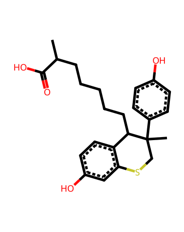 CC(CCCCCC1c2ccc(O)cc2SCC1(C)c1ccc(O)cc1)C(=O)O